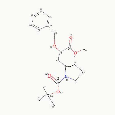 COC(=O)C(CC1CCCN1C(=O)OC(C)(C)C)OCc1ccccc1